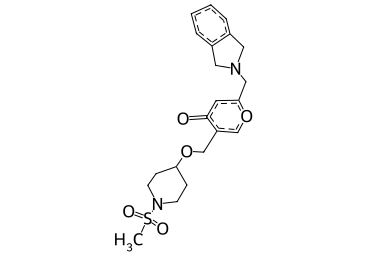 CS(=O)(=O)N1CCC(OCc2coc(CN3Cc4ccccc4C3)cc2=O)CC1